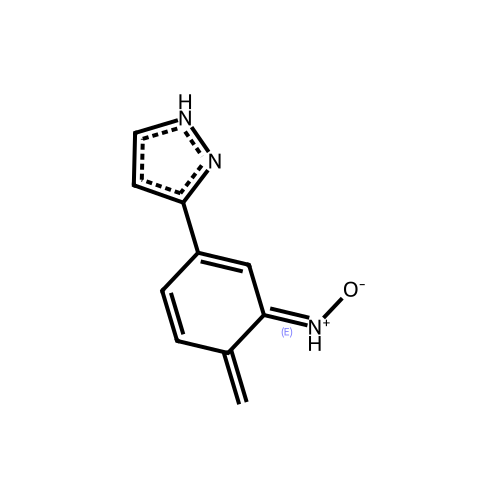 C=C1C=CC(c2cc[nH]n2)=C/C1=[NH+]\[O-]